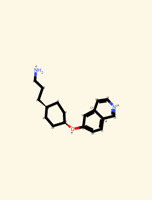 NCCC[C@H]1CC[C@@H](Oc2ccc3cnccc3c2)CC1